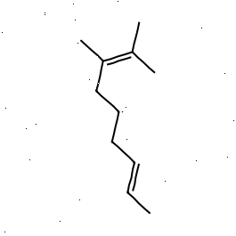 CC=CC[CH]CC(C)=C(C)C